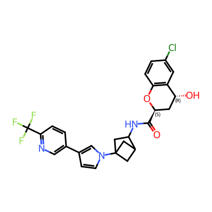 O=C(NC1CC2(n3ccc(-c4ccc(C(F)(F)F)nc4)c3)CC1C2)[C@@H]1C[C@@H](O)c2cc(Cl)ccc2O1